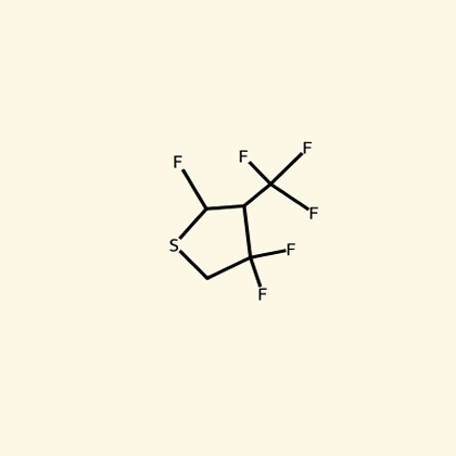 FC1SCC(F)(F)C1C(F)(F)F